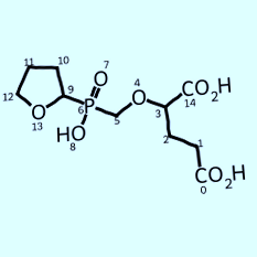 O=C(O)CCC(OCP(=O)(O)C1CCCO1)C(=O)O